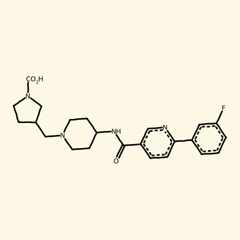 O=C(NC1CCN(CC2CCN(C(=O)O)C2)CC1)c1ccc(-c2cccc(F)c2)nc1